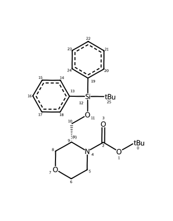 CC(C)(C)OC(=O)N1CCOC[C@@H]1CO[Si](c1ccccc1)(c1ccccc1)C(C)(C)C